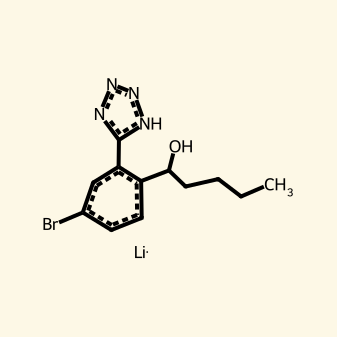 CCCCC(O)c1ccc(Br)cc1-c1nnn[nH]1.[Li]